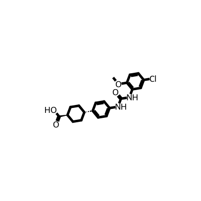 COc1ccc(Cl)cc1NC(=O)Nc1ccc([C@H]2CC[C@H](C(=O)O)CC2)cc1